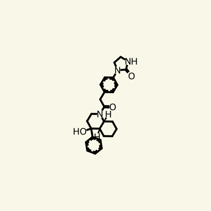 O=C1NCCN1c1ccc(CC(=O)N2CCC(O)(c3ccccc3)[C@H]3CCCC[C@H]32)cc1